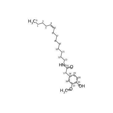 CCCC/C=C\CCCCCCCCNC(=O)Cc1ccc(O)c(OC)c1